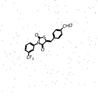 O=Cc1ccc(/C=C2\SC(=O)N(c3cccc(C(F)(F)F)c3)C2=O)cc1